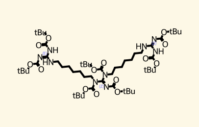 CC(C)(C)OC(=O)/N=C(/NCCCCCCCN(C(=O)OC(C)(C)C)/C(=N\C(=O)OC(C)(C)C)N(CCCCCCCN/C(=N\C(=O)OC(C)(C)C)NC(=O)OC(C)(C)C)C(=O)OC(C)(C)C)NC(=O)OC(C)(C)C